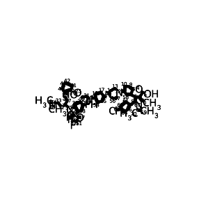 Cc1c(C(=O)O)c(-c2cccc(N3CCN(c4ccc(N(CCOO)Pc5ccc(N[C@H](CCN(C)C)CSc6ccccc6)c(S(=O)(=O)C(F)(F)F)c5)cc4)CC3)c2)c(-c2ccc(Cl)cc2)n1C(C)C